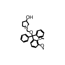 COc1cccc(C(OCN2CCC(O)C2)(c2ccccc2)c2ccccc2)c1OC